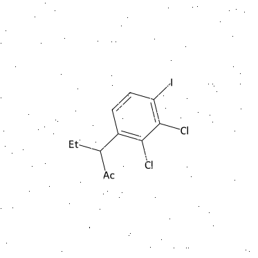 CCC(C(C)=O)c1ccc(I)c(Cl)c1Cl